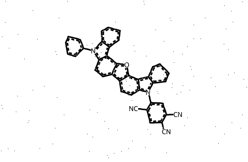 N#Cc1cc(C#N)c(-n2c3ccccc3c3c4oc5c(ccc6c5c5ccccc5n6-c5ccccc5)c4ccc32)cc1C#N